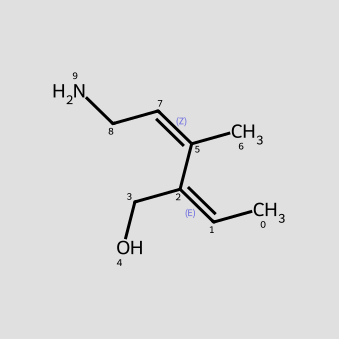 C/C=C(CO)\C(C)=C/CN